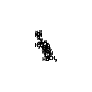 C[C@@]1(O)CC[C@H]2[C@H](CC[C@@H]3[C@@H]2CC[C@]2(C)[C@@H](C(=O)CCn4nccn4)CC[C@@H]32)C1